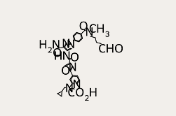 CN(CCCCC=O)C(=O)c1ccc(-n2cc(NC(=O)c3coc(-c4ccnc(N(CC5CC5)C(=O)O)c4)n3)c(C(N)=O)n2)cc1